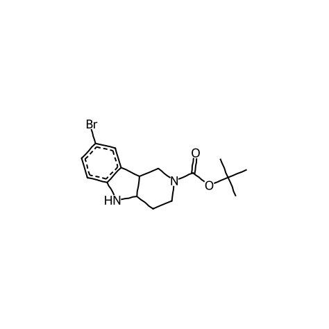 CC(C)(C)OC(=O)N1CCC2Nc3ccc(Br)cc3C2C1